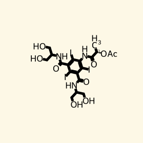 CC(=O)O[C@@H](C)C(=O)Nc1c(I)c(C(=O)NC(CO)CO)c(I)c(C(=O)NC(CO)CO)c1I